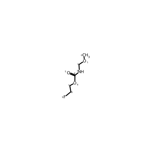 COCNC(=O)OCCF